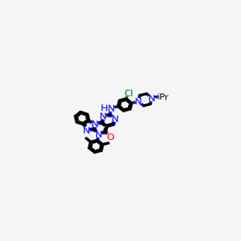 Cc1cccc(C)c1-n1c(=O)c2cnc(Nc3ccc(N4CCN(C(C)C)CC4)c(Cl)c3)nc2n2c3ccccc3nc12